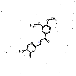 COc1ccc(C(=O)/C=C/C2=NC=C(O)C(=O)C2)cc1OC